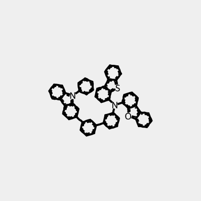 c1ccc(-n2c3ccccc3c3ccc(-c4cccc(-c5cccc(N(c6cccc7c6oc6ccccc67)c6cccc7c6sc6ccccc67)c5)c4)cc32)cc1